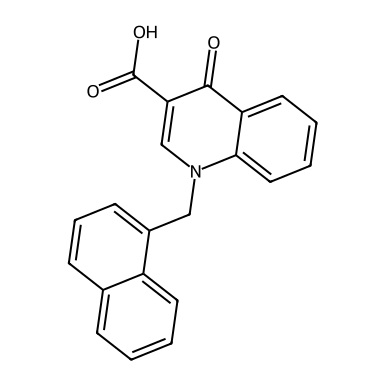 O=C(O)c1cn(Cc2cccc3ccccc23)c2ccccc2c1=O